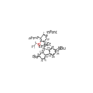 C=CCOc1c(CCCCC)cc(CCCCC)cc1[Si](CC)(CC)C1c2cc(C(C)(C)C)ccc2-c2ccc(C(C)(C)C)cc21